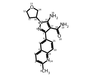 Cc1ccc2cc(-c3nn(C4CCOC4)c(N)c3C(N)=O)ccc2n1